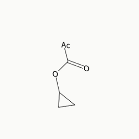 CC(=O)C(=O)OC1CC1